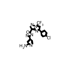 Nc1cc(-c2noc(-c3cnn4c(C(F)(F)F)cc(-c5ccc(Cl)cc5)nc34)n2)ccn1